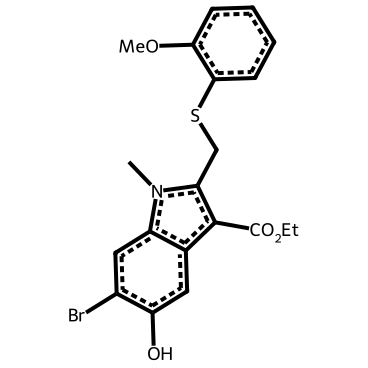 CCOC(=O)c1c(CSc2ccccc2OC)n(C)c2cc(Br)c(O)cc12